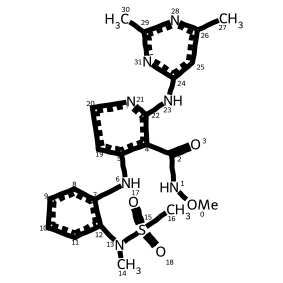 CONC(=O)c1c(Nc2ccccc2N(C)S(C)(=O)=O)ccnc1Nc1cc(C)nc(C)n1